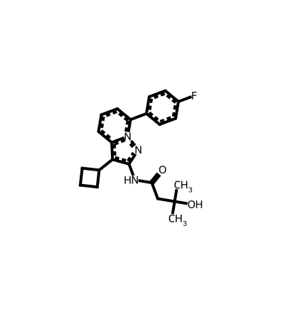 CC(C)(O)CC(=O)Nc1nn2c(-c3ccc(F)cc3)cccc2c1C1CCC1